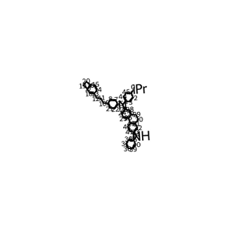 CC(C)c1ccc(N(c2ccc(CCCc3ccc4c(c3)CC4)cc2)c2ccc3c(c2)CCc2cc(Nc4ccccc4)ccc2-3)cc1